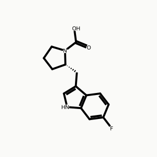 O=C(O)N1CCC[C@H]1Cc1c[nH]c2cc(F)ccc12